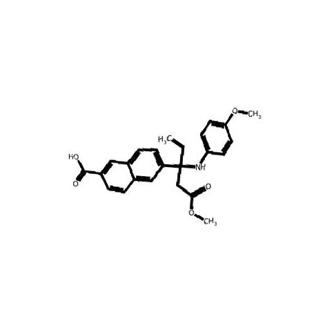 CCC(CC(=O)OC)(Nc1ccc(OC)cc1)c1ccc2cc(C(=O)O)ccc2c1